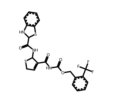 O=C(NC(=O)C1=CCSC1NC(=O)C1Nc2ccccc2S1)OCc1ccccc1C(F)(F)F